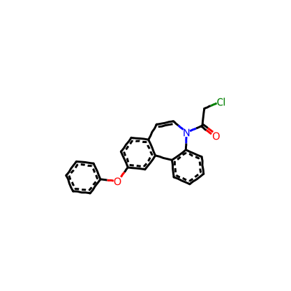 O=C(CCl)N1C=Cc2ccc(Oc3ccccc3)cc2-c2ccccc21